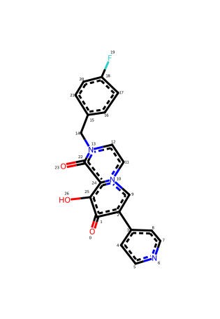 O=c1c(-c2ccncc2)cn2ccn(Cc3ccc(F)cc3)c(=O)c2c1O